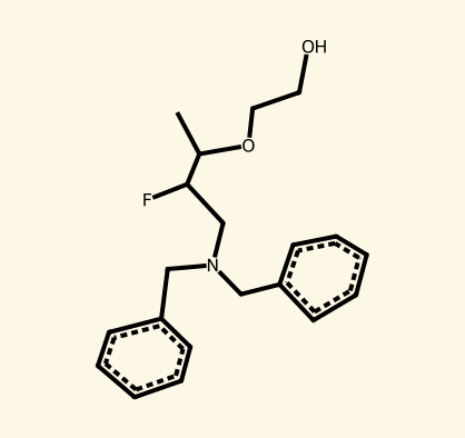 CC(OCCO)C(F)CN(Cc1ccccc1)Cc1ccccc1